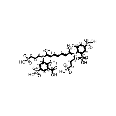 C\C(=C/C=C/C=C/C(C)=[N+](\CCCS(=O)(=O)O)c1c(C)cc(S(=O)(=O)O)cc1S(=O)(=O)O)N(CCCS(=O)(=O)O)c1cc(S(=O)(=O)O)cc(C(=O)O)c1C